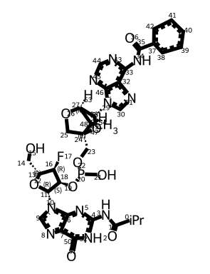 CC(C)C(=O)Nc1nc2c(ncn2[C@@H]2O[C@H](CO)[C@@H](F)[C@H]2OP(O)OC[C@@]23CO[C@@H]([C@H](n4cnc5c(NC(=O)c6ccccc6)ncnc54)O2)[C@@H]3C)c(=O)[nH]1